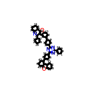 c1ccc(-c2nc(-c3ccc(-c4ccc5oc6c7ccccc7nc(-c7ccccc7)c6c5c4)cc3)nc(-c3ccc(-c4cccc5oc6ccccc6c45)cc3)n2)cc1